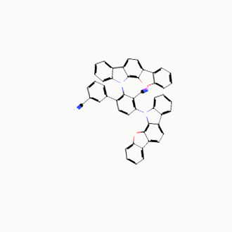 N#Cc1cccc(-c2ccc(-n3c4ccccc4c4ccc5c6ccccc6oc5c43)c(C#N)c2-n2c3ccccc3c3ccc4c5ccccc5oc4c32)c1